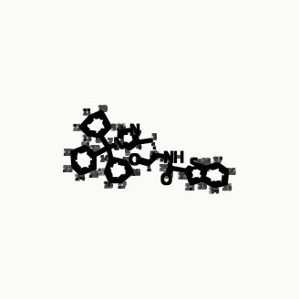 O=C[C@H](Cc1cn(C(c2ccccc2)(c2ccccc2)c2ccccc2)cn1)NC(=O)c1cc2ccccc2s1